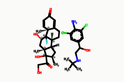 CC(C)(C)NCC(O)c1cc(Cl)c(N)c(Cl)c1.C[C@@H]1C[C@H]2[C@@H]3CCC4=CC(=O)C=C[C@]4(C)[C@@]3(F)[C@@H](O)C[C@]2(C)[C@@]1(O)C(=O)CO